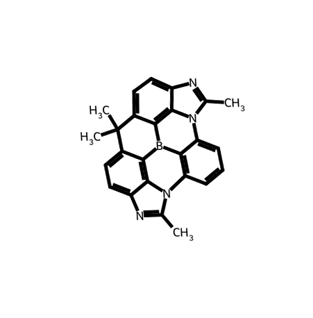 Cc1nc2ccc3c4c2n1-c1cccc2c1B4c1c(ccc4nc(C)n-2c14)C3(C)C